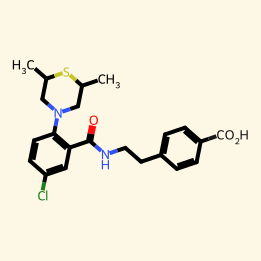 CC1CN(c2ccc(Cl)cc2C(=O)NCCc2ccc(C(=O)O)cc2)CC(C)S1